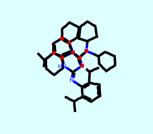 CC(C)c1cccc(C(C)C)c1/N=C(\N=C(N(C1CCCCC1)C1CCCCC1)N(C1CCCCC1)C1CCCCC1)Nc1c(C(C)C)cccc1C(C)C